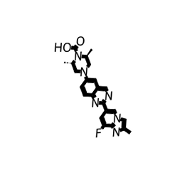 Cc1cn2cc(-c3ncc4cc(N5C[C@H](C)N(C(=O)O)[C@@H](C)C5)ccc4n3)cc(F)c2n1